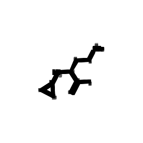 C=C(C)[C@H](CCSC)NC1CC1